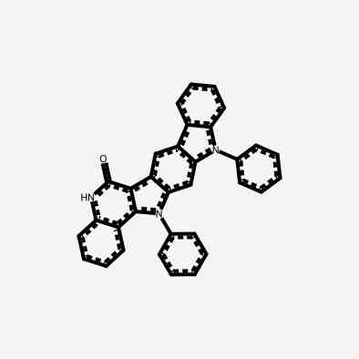 O=c1[nH]c2ccccc2c2c1c1cc3c4ccccc4n(-c4ccccc4)c3cc1n2-c1ccccc1